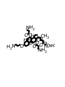 CCCCCCCCCCOC(=O)CC[C@@H](C)[C@H]1CC[C@H]2[C@@H]3[C@H](OC(=O)CCN)C[C@@H]4C[C@H](OCCCN)CC[C@]4(C)[C@H]3C[C@H](OC(=O)CCN)[C@]12C